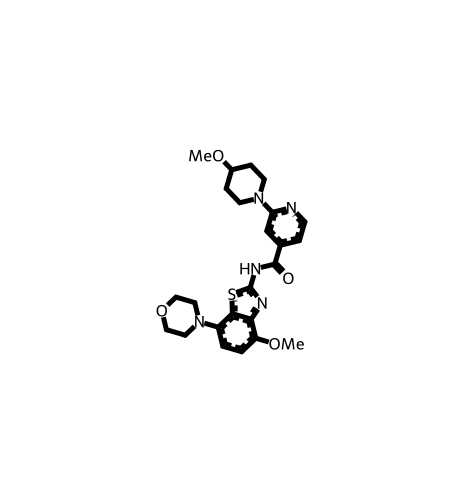 COc1ccc(N2CCOCC2)c2sc(NC(=O)c3ccnc(N4CCC(OC)CC4)c3)nc12